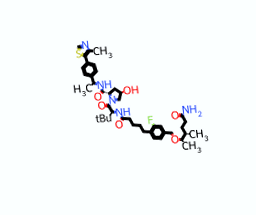 Cc1ncsc1-c1ccc([C@H](C)NC(=O)[C@@H]2C[C@@H](O)CN2C(=O)[C@@H](NC(=O)CCCCc2ccc(CO[C@H](C)[C@@H](C)CCC(N)=O)cc2F)C(C)(C)C)cc1